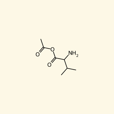 CC(=O)OC(=O)C(N)C(C)C